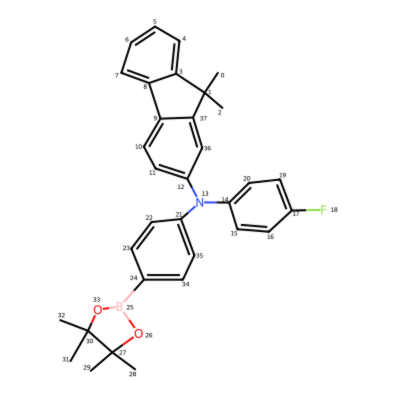 CC1(C)c2ccccc2-c2ccc(N(c3ccc(F)cc3)c3ccc(B4OC(C)(C)C(C)(C)O4)cc3)cc21